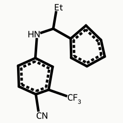 CCC(Nc1ccc(C#N)c(C(F)(F)F)c1)c1ccccc1